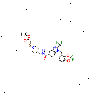 COC(=O)CSN1CCC(CNC(=O)c2ccc3c(c2)nc(C(F)(F)F)n3Cc2cccc3c2OC(F)(F)O3)CC1